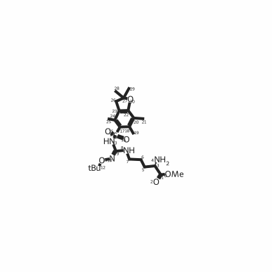 COC(=O)[C@@H](N)CCCN/C(=N/OC(C)(C)C)NS(=O)(=O)c1c(C)c(C)c2c(c1C)CC(C)(C)O2